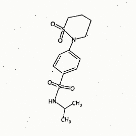 CC(C)NS(=O)(=O)c1ccc(N2CCCCS2(=O)=O)cc1